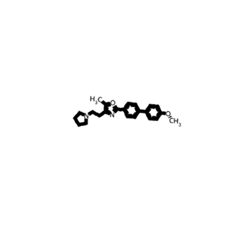 COc1ccc(-c2ccc(-c3nc(CCN4CCCC4)c(C)o3)cc2)cc1